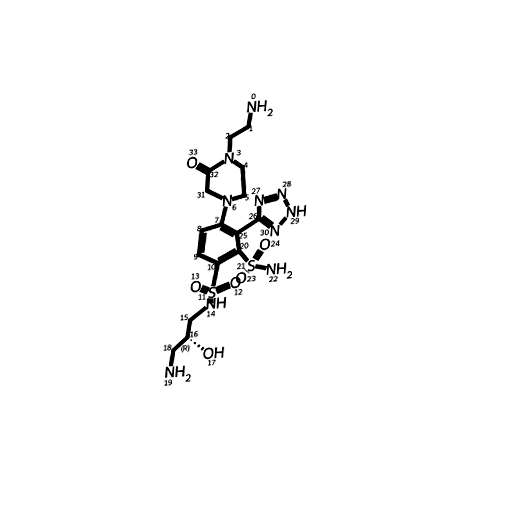 NCCN1CCN(c2ccc(S(=O)(=O)NC[C@H](O)CN)c(S(N)(=O)=O)c2-c2nn[nH]n2)CC1=O